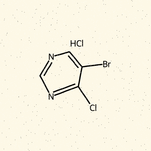 Cl.Clc1ncncc1Br